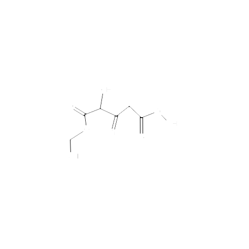 CCOC(=O)C(C)C(=O)CC(=O)OC